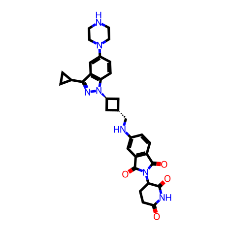 O=C1CCC(N2C(=O)c3ccc(NC[C@H]4C[C@H](n5nc(C6CC6)c6cc(N7CCNCC7)ccc65)C4)cc3C2=O)C(=O)N1